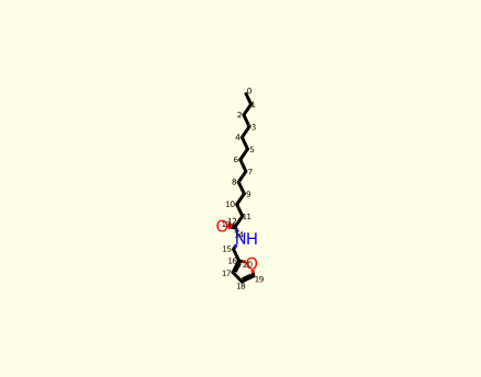 CCCCCCCCCCCCC(=O)NCc1ccco1